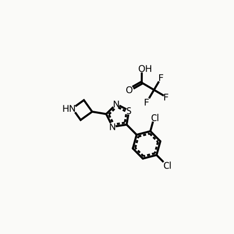 Clc1ccc(-c2nc(C3CNC3)ns2)c(Cl)c1.O=C(O)C(F)(F)F